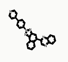 c1ccc2nc(-c3cc4nn(-c5ccc(-c6ccncc6)cc5)nc4c4ccccc34)cnc2c1